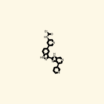 CCC(=O)Nc1cncc(-c2ccc3[nH]nc(-c4nc5c(-c6cccnc6)cncc5[nH]4)c3c2)c1